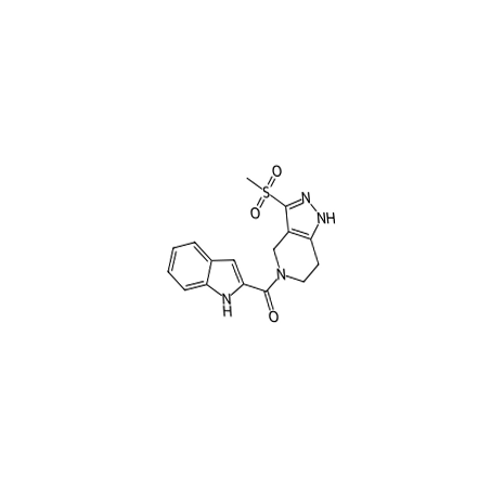 CS(=O)(=O)c1n[nH]c2c1CN(C(=O)c1cc3ccccc3[nH]1)CC2